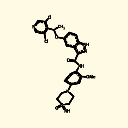 COc1cc(N2CCS(=N)(=O)CC2)ccc1NC(=O)c1n[nH]c2ccc(OC(C)c3c(Cl)cncc3Cl)cc12